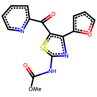 COC(=O)Nc1nc(-c2ccco2)c(C(=O)c2ccccn2)s1